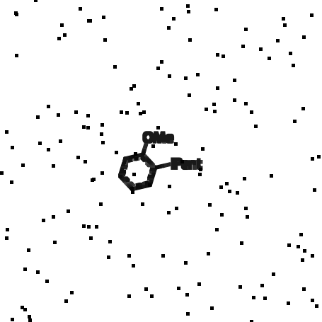 CCCC(C)c1ccccc1OC